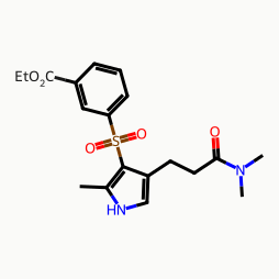 CCOC(=O)c1cccc(S(=O)(=O)c2c(CCC(=O)N(C)C)c[nH]c2C)c1